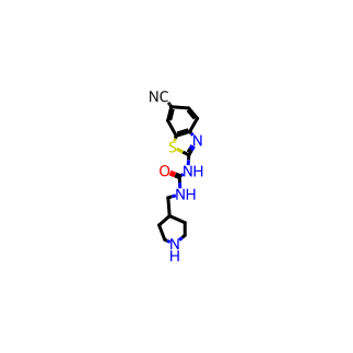 N#Cc1ccc2nc(NC(=O)NCC3CCNCC3)sc2c1